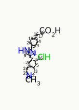 CN1CCc2ccc(-c3c[nH]c(-c4ccc(CCC(=O)O)cc4)n3)cc2CC1.Cl